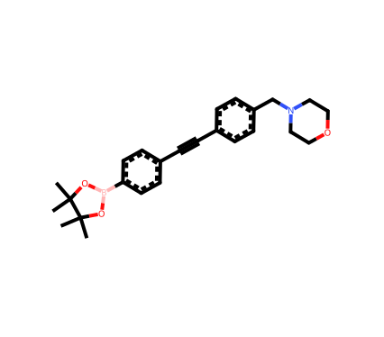 CC1(C)OB(c2ccc(C#Cc3ccc(CN4CCOCC4)cc3)cc2)OC1(C)C